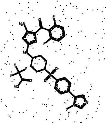 Cn1cncc1-c1ccc(S(=O)(=O)N2CCC(Nc3nc(N)c(C(=O)c4c(F)cccc4F)s3)CC2)cc1.O=C(O)C(F)(F)F